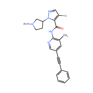 CC(=O)N1CCC(n2ncc(Cl)c2C(=O)Nc2ncc(C#Cc3ccccc3)cc2C)C1